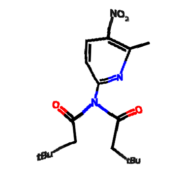 Cc1nc(N(C(=O)CC(C)(C)C)C(=O)CC(C)(C)C)ccc1[N+](=O)[O-]